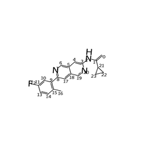 C=C(Nc1cc2cnc(-c3cc(F)ccc3C)cc2cn1)C1CC1